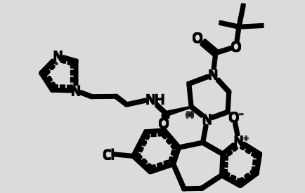 CC(C)(C)OC(=O)N1CCN(C2c3ccc(Cl)cc3CCc3ccc[n+]([O-])c32)[C@@H](C(=O)NCCCn2ccnc2)C1